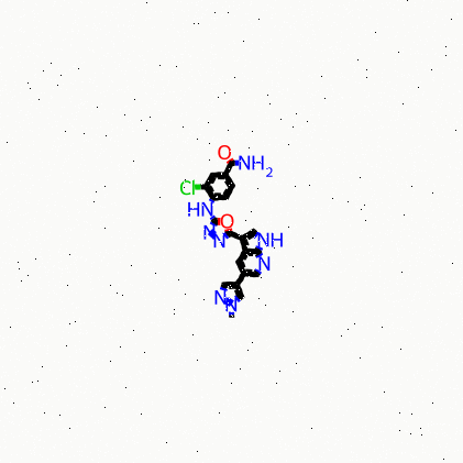 Cn1cc(-c2cnc3[nH]cc(-c4nnc(Nc5ccc(C(N)=O)cc5Cl)o4)c3c2)cn1